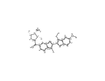 CCn1c(-c2nc3cc(C(=O)N4C[C@H](C)[C@H](N)[C@@H]4C)cnc3n2C)cc2ccc(OC)nc21